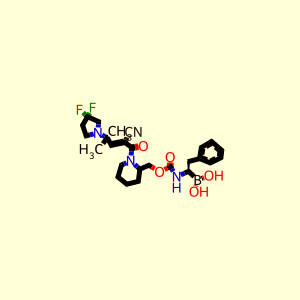 CC(C)(C=C(C#N)C(=O)N1CCCCC1COC(=O)N[C@@H](Cc1ccccc1)B(O)O)N1CCC(F)(F)C1